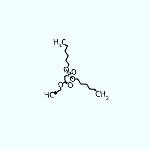 C#CCOC(=O)CP(=O)(OCCCCC=C)OCCCCC=C